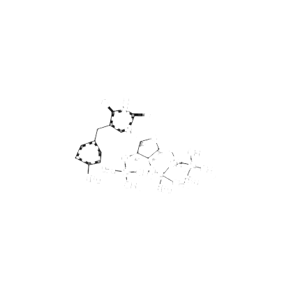 CC(C)(C)c1ccc(Cc2cn([C@@H]3O[C@H](CO[Si](C)(C)C(C)(C)C)[C@@H](O[Si](C)(C)C(C)(C)C)[C@H]3O[Si](C)(C)C(C)(C)C)c(=O)[nH]c2=O)cc1